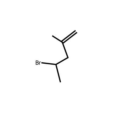 C=C(C)CC(C)Br